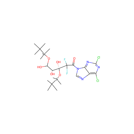 CC(C)(C)[Si](C)(C)OC(O)[C@@H](O)[C@](O)(O[Si](C)(C)C(C)(C)C)C(F)(F)C(=O)n1cnc2c(Cl)nc(Cl)nc21